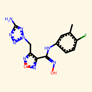 Cc1cc(N/C(=N/O)c2nonc2Cn2nnc(N)n2)ccc1F